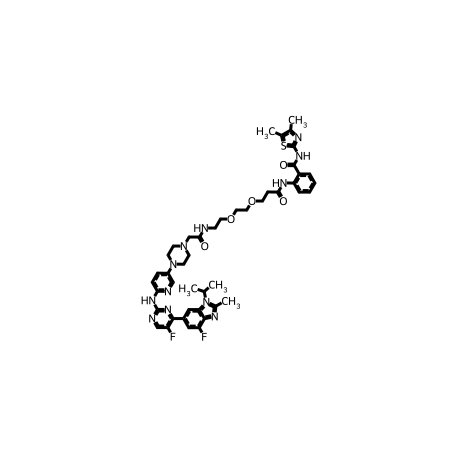 Cc1nc(NC(=O)c2ccccc2NC(=O)CCOCCOCCNC(=O)CN2CCN(c3ccc(Nc4ncc(F)c(-c5cc(F)c6nc(C)n(C(C)C)c6c5)n4)nc3)CC2)sc1C